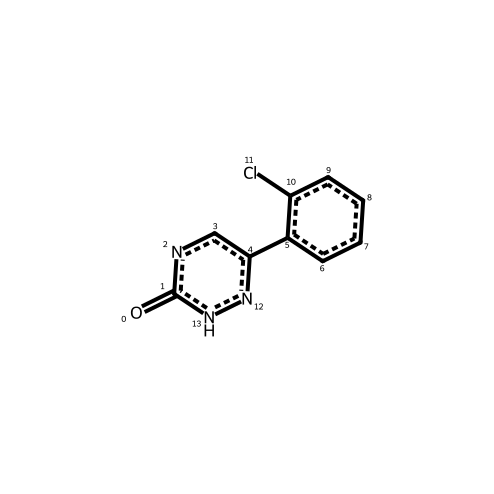 O=c1ncc(-c2ccccc2Cl)n[nH]1